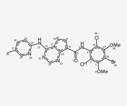 COc1c(Cl)c(NC(=O)c2csc3c(Nc4ccc(C)cn4)ncnc23)c(Cl)c(OC)c1Br